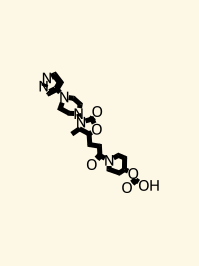 CC1C(CCC(=O)N2CCC(OC(=O)O)CC2)OC(=O)N1N1CCN(c2ccnnc2)CC1